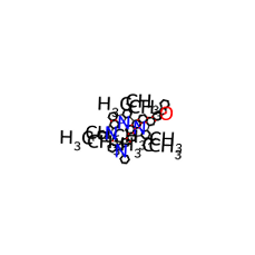 CC1=CCc2cc(C(C)(C)C)ccc2N1c1cccc(N(c2cc(-c3ccc4c(c3)c3ccccc3n4-c3ccccc3)cc(N(c3cccc(-c4ccc5oc6ccccc6c5c4)c3)c3c(-c4ccccc4)cc(C(C)(C)C)cc3-c3ccccc3)c2)c2c(-c3ccccc3)cc(C(C)(C)C)cc2-c2ccccc2)c1